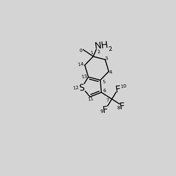 CC1(N)CCc2c(C(F)(F)F)csc2C1